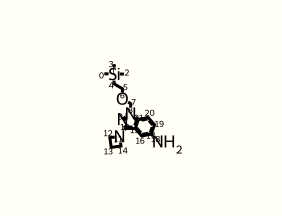 C[Si](C)(C)CCOCn1nc(N2CCC2)c2cc(N)ccc21